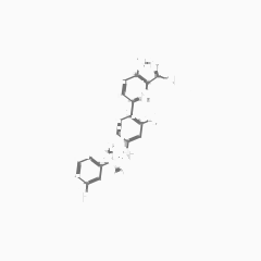 Nc1n[nH]c2ccc(-c3ccc(NS(=O)(=O)c4cccc(F)c4)cc3Cl)nc12